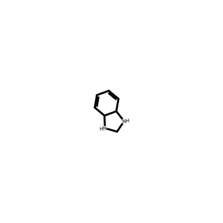 C1=CC2NCNC2C=C1